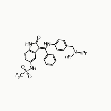 CCCN(CCC)Cc1ccc(N/C(=C2\C(=O)Nc3ccc(NS(=O)(=O)C(F)(F)F)cc32)c2ccccc2)cc1